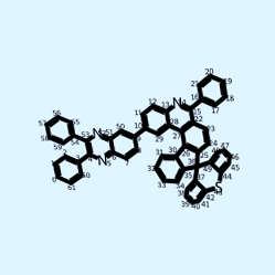 c1ccc(-c2nc3ccc(-c4ccc5nc(-c6ccccc6)c6ccc7c(c6c5c4)-c4ccccc4C74c5ccccc5Sc5ccccc54)cc3nc2-c2ccccc2)cc1